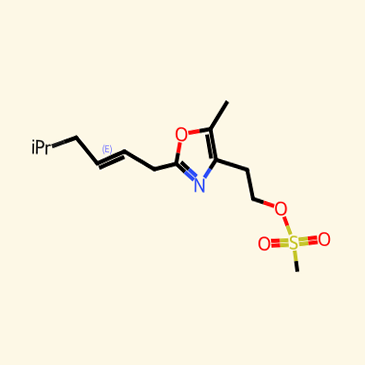 Cc1oc(C/C=C/CC(C)C)nc1CCOS(C)(=O)=O